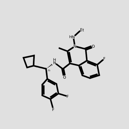 CCNn1c(C)c(C(=O)N[C@H](c2ccc(F)c(F)c2)C2CCC2)c2cccc(F)c2c1=O